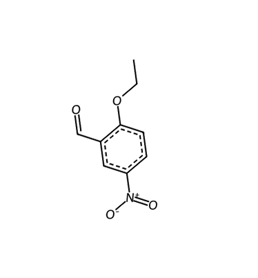 CCOc1ccc([N+](=O)[O-])cc1C=O